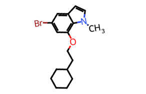 Cn1ccc2cc(Br)cc(OCCC3CCCCC3)c21